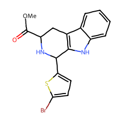 COC(=O)C1Cc2c([nH]c3ccccc23)C(c2ccc(Br)s2)N1